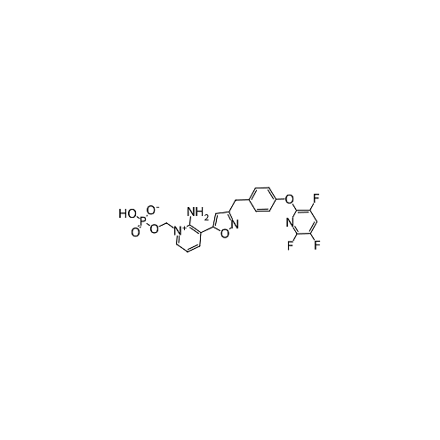 Nc1c(-c2cc(Cc3ccc(Oc4nc(F)c(F)cc4F)cc3)no2)ccc[n+]1COP(=O)([O-])O